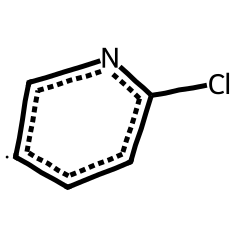 Clc1cc[c]cn1